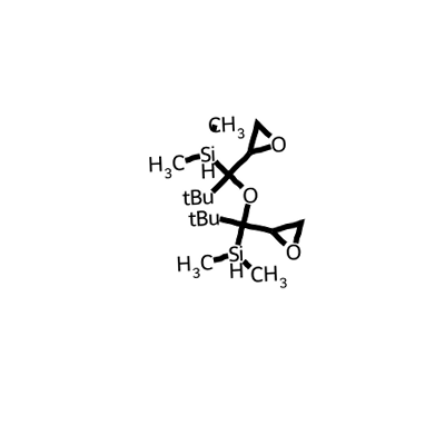 C[SiH](C)C(OC(C1CO1)([SiH](C)C)C(C)(C)C)(C1CO1)C(C)(C)C